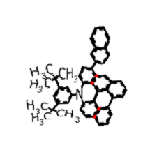 CC(C)(C)c1cc(N(c2ccc(-c3ccc4ccccc4c3)cc2)c2ccccc2-c2cccc3cccc(-c4ccccc4)c23)cc(C(C)(C)C)c1